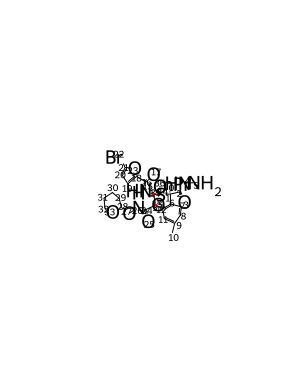 CCC[C@](C(=O)NN)(c1ccc(C)cc1[C@H](CNC(=O)c1ccc(Br)o1)C(=O)NOC1CCCCO1)S(C)(=O)=O